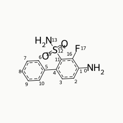 Nc1ccc(-c2ccccc2)c(S(N)(=O)=O)c1F